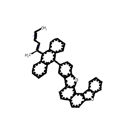 C/C=C\C=C(/C)c1c2ccccc2c(-c2ccc3oc4c(ccc5ccc6oc7ccccc7c6c54)c3c2)c2ccccc12